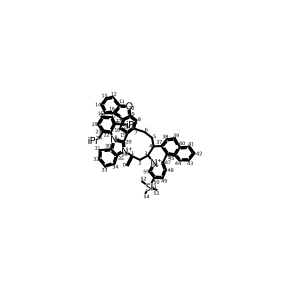 C=C1CC2C(CCc3cc4oc5ccccc5c4cc3-c3n(-c4c(C(C)C)cccc4C(C)C)c4ccccc4[n+]31)c1ccc3ccccc3c1-c1ccc([Si](C)(C)C)c[n+]12